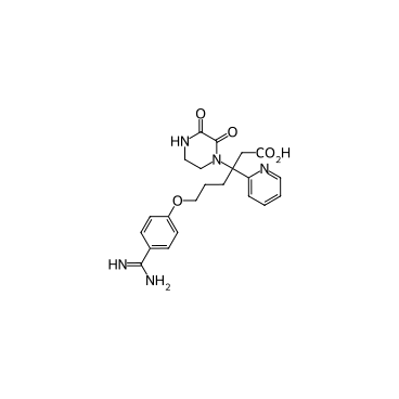 N=C(N)c1ccc(OCCCC(CC(=O)O)(c2ccccn2)N2CCNC(=O)C2=O)cc1